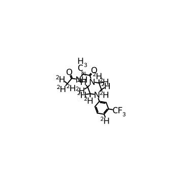 [2H]c1ccc(N2C([2H])([2H])C([2H])([2H])N(C(=O)[C@@H](C)NC(=O)C([2H])([2H])[2H])C([2H])([2H])C2([2H])[2H])cc1C(F)(F)F